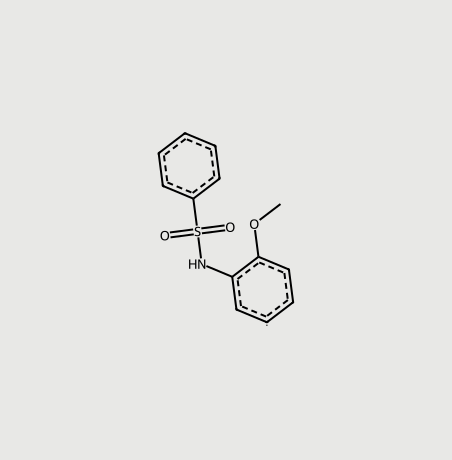 COc1cc[c]cc1NS(=O)(=O)c1ccccc1